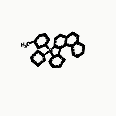 Cc1cccc([Si]2(c3ccccc3)c3ccccc3-c3c2ccc2ccc4ccccc4c32)c1